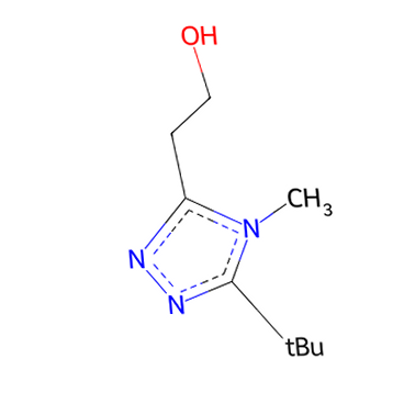 Cn1c(CCO)nnc1C(C)(C)C